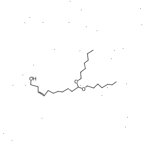 CCCCCCCOC(CCCCCC/C=C\CCO)OCCCCCCC